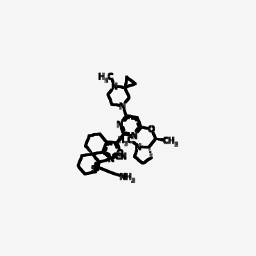 C[C@H](Oc1cc(N2CCN(C)C3(CC3)C2)nc(-c2onc3c2CCC[C@@]32CCCc3sc(N)c(C#N)c32)n1)[C@@H]1CCCN1C